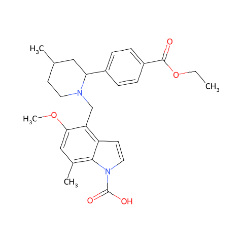 CCOC(=O)c1ccc(C2CC(C)CCN2Cc2c(OC)cc(C)c3c2ccn3C(=O)O)cc1